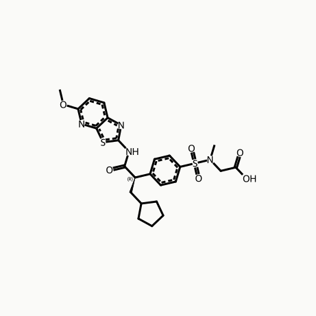 COc1ccc2nc(NC(=O)[C@H](CC3CCCC3)c3ccc(S(=O)(=O)N(C)CC(=O)O)cc3)sc2n1